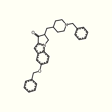 O=C1c2cc3cc(OCc4ccccc4)ccc3n2CC1CC1CCN(Cc2ccccc2)CC1